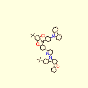 CC(C)(C)c1cc2c3c(c1)Oc1ccc(-c4cccc(-n5c6cc(C(C)(C)C)ccc6c6c7c(ccc65)oc5ccccc57)n4)cc1B3c1ccc(-n3c4ccccc4c4ccccc43)cc1O2